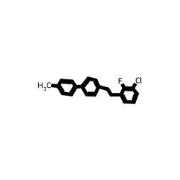 Cc1ccc(-c2ccc(CCc3cccc(Cl)c3F)cc2)cc1